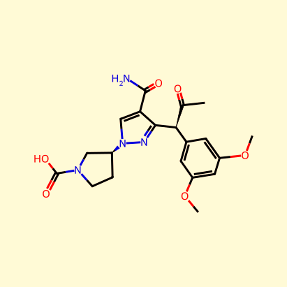 COc1cc(OC)cc([C@H](C(C)=O)c2nn([C@H]3CCN(C(=O)O)C3)cc2C(N)=O)c1